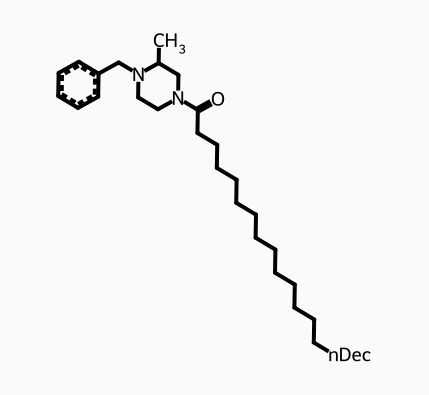 CCCCCCCCCCCCCCCCCCCCCCCC(=O)N1CCN(Cc2ccccc2)C(C)C1